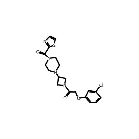 O=C(COc1cccc(Cl)c1)N1CC(N2CCN(C(=O)c3nccs3)CC2)C1